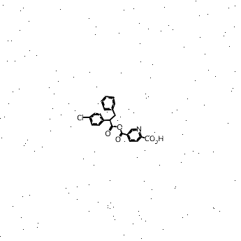 O=C(OC(=O)C(Cc1ccccc1)c1ccc(Cl)cc1)c1ccc(C(=O)O)nc1